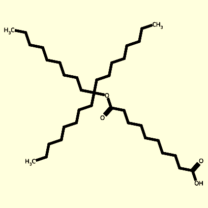 CCCCCCCCCC(CCCCCCCC)(CCCCCCCC)OC(=O)CCCCCCCCC(=O)O